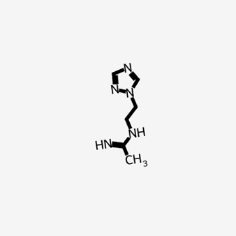 CC(=N)NCCn1cncn1